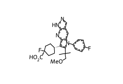 COCC(C)(C)c1c([C@H]2CC[C@](F)(C(=O)O)CC2)c2nc3[nH]ncc3cc2n1-c1ccc(F)cc1